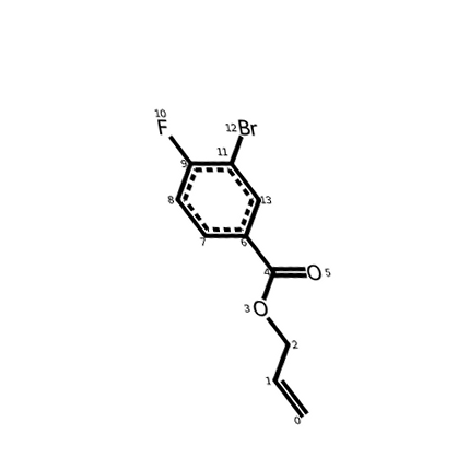 C=CCOC(=O)c1ccc(F)c(Br)c1